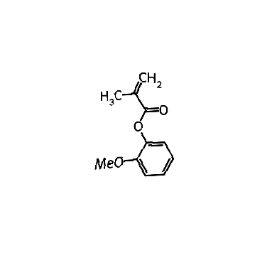 C=C(C)C(=O)Oc1ccccc1OC